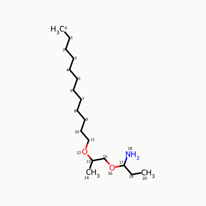 CCCCCCCCCCCCOC(C)COC(N)CC